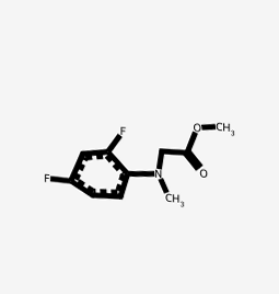 COC(=O)CN(C)c1ccc(F)cc1F